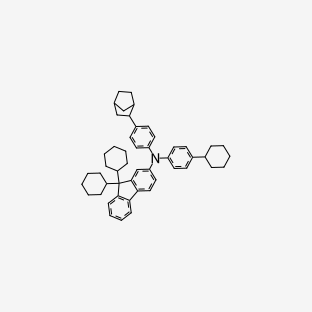 c1ccc2c(c1)-c1ccc(N(c3ccc(C4CCCCC4)cc3)c3ccc(C4CC5CCC4C5)cc3)cc1C2(C1CCCCC1)C1CCCCC1